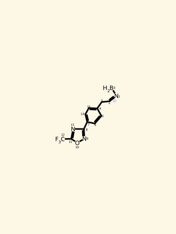 B/N=C\Cc1ccc(-c2noc(C(F)(F)F)n2)cc1